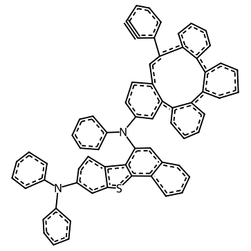 c1cccc(-c2cc3ccc(N(c4ccccc4)c4cc5ccccc5c5sc6cc(N(c7ccccc7)c7ccccc7)ccc6c45)cc3c3ccccc3c3ccccc3c3ccccc23)c#1